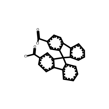 O=C(Cl)c1ccc2c(c1)C1(c3ccccc3-2)c2ccccc2-c2ccc(C(=O)Cl)cc21